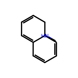 C1=CCC23CNCCC2=CC=CC3=C1